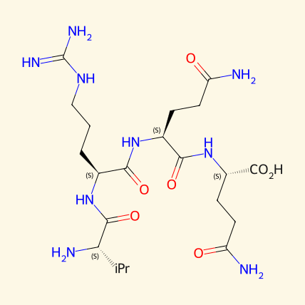 CC(C)[C@H](N)C(=O)N[C@@H](CCCNC(=N)N)C(=O)N[C@@H](CCC(N)=O)C(=O)N[C@@H](CCC(N)=O)C(=O)O